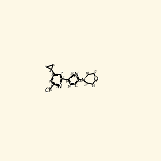 Clc1cc(C2CC2)cc(-c2ccc(N3CCOCC3)nc2)n1